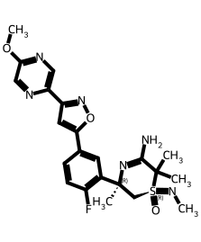 CN=[S@@]1(=O)C[C@@](C)(c2cc(-c3cc(-c4cnc(OC)cn4)no3)ccc2F)N=C(N)C1(C)C